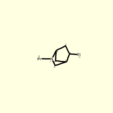 CCC1CC2CC1CN2C(C)C